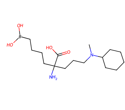 CN(CCCC(N)(CCCCB(O)O)C(=O)O)C1CCCCC1